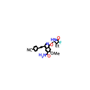 CC[C@@H]1[C@H](F)C(=O)N[C@@H]1COc1ncc(C#Cc2ccc(C#N)cc2)c2cc(C(N)=O)c(OC)cc12